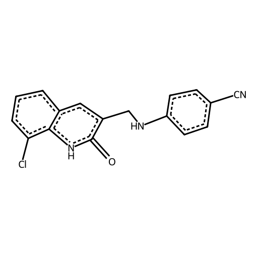 N#Cc1ccc(NCc2cc3cccc(Cl)c3[nH]c2=O)cc1